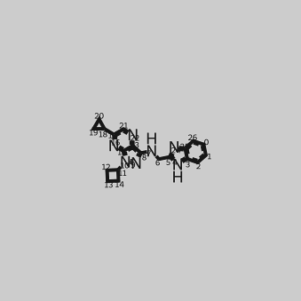 c1ccc2[nH]c(CNc3nn(C4CCC4)c4nc(C5CC5)cnc34)nc2c1